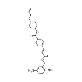 C=CCCC1CCC(OC(=O)c2ccc(/C=C/C(=O)OCc3cc(N)ccc3N)cc2)CC1